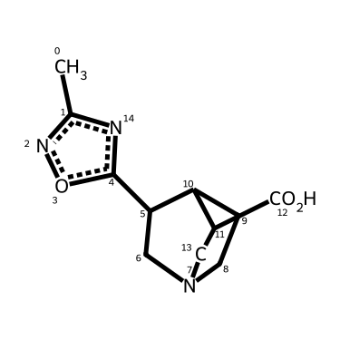 Cc1noc(C2CN3CCC2C(C(=O)O)C3)n1